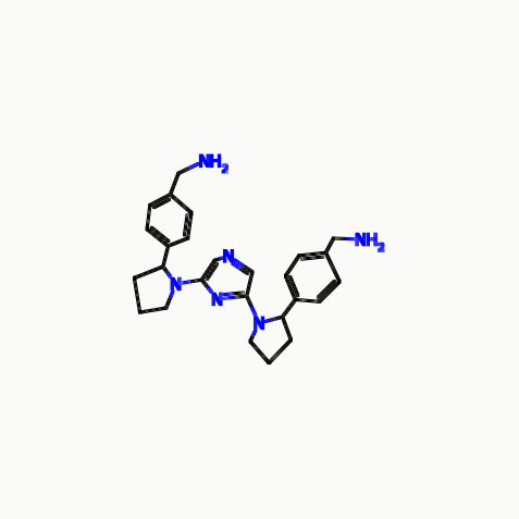 NCc1ccc(C2CCCN2c2cncc(N3CCCC3c3ccc(CN)cc3)n2)cc1